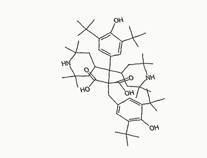 CC1(C)CC(C(c2cc(C(C)(C)C)c(O)c(C(C)(C)C)c2)(C2CC(C)(C)NC(C)(C)C2)C(Cc2cc(C(C)(C)C)c(O)c(C(C)(C)C)c2)(C(=O)O)C(=O)O)CC(C)(C)N1